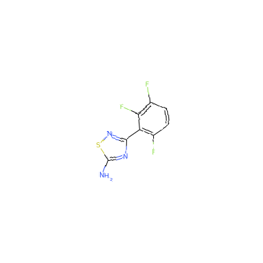 Nc1nc(-c2c(F)ccc(F)c2F)ns1